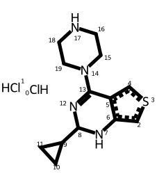 Cl.Cl.c1scc2c1NC(C1CC1)N=C2N1CCNCC1